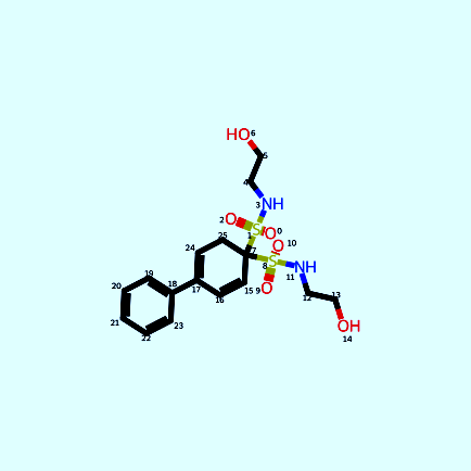 O=S(=O)(NCCO)C1(S(=O)(=O)NCCO)C=CC(c2ccccc2)=CC1